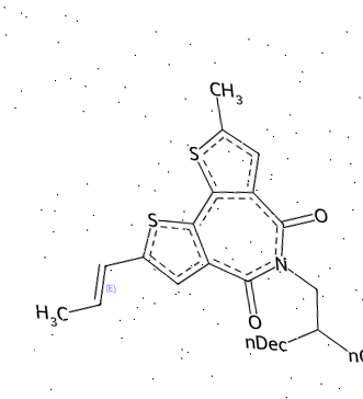 C/C=C/c1cc2c(=O)n(CC(CCCCCCCC)CCCCCCCCCC)c(=O)c3cc(C)sc3c2s1